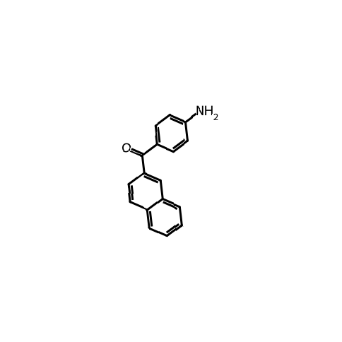 Nc1ccc(C(=O)c2ccc3ccccc3c2)cc1